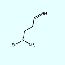 CCN(C)CCC=N